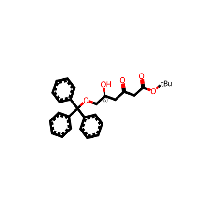 CC(C)(C)OC(=O)CC(=O)C[C@H](O)COC(c1ccccc1)(c1ccccc1)c1ccccc1